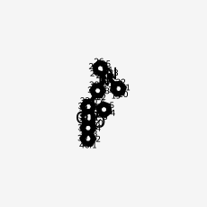 O=P1(c2ccccc2)c2cc(-c3ccc(-n4c(-c5ccccc5)nc5ccccc54)cc3)ccc2Oc2cc3ccccc3cc21